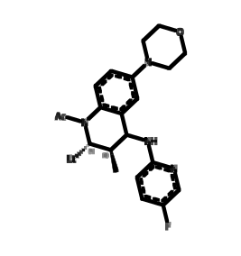 CC[C@H]1[C@H](C)C(Nc2ccc(F)cn2)c2cc(N3CCOCC3)ccc2N1C(C)=O